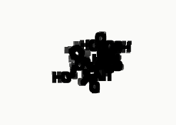 Cc1cn(CC2(OCCO)CCCC2)c(=O)[nH]c1=O.O=P(O)(O)OP(=O)(O)OP(=O)(O)O